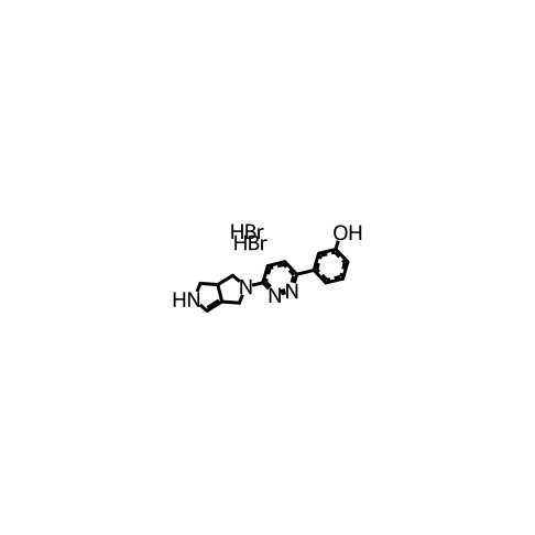 Br.Br.Oc1cccc(-c2ccc(N3CC4=CNCC4C3)nn2)c1